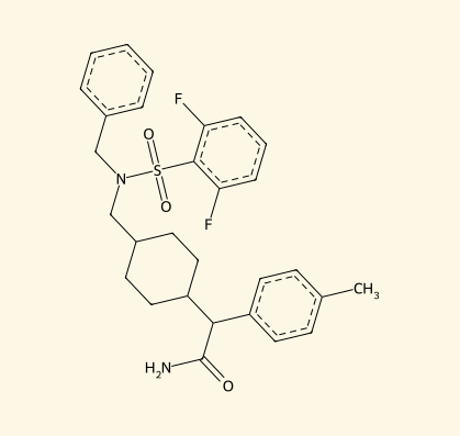 Cc1ccc(C(C(N)=O)C2CCC(CN(Cc3ccccc3)S(=O)(=O)c3c(F)cccc3F)CC2)cc1